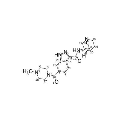 CN1CCN(C(=O)c2ccc3c(C(=O)N[C@@H]4CN5CCC4CC5)n[nH]c3c2)CC1